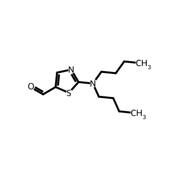 CCCCN(CCCC)c1ncc(C=O)s1